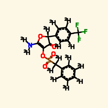 [2H]c1c([2H])c([2H])c(C([2H])([2H])S(=O)(=O)OC2=C(N([2H])[2H])O[C@]([2H])(c3c([2H])c([2H])c(C(F)(F)F)c([2H])c3[2H])C2=O)c([2H])c1[2H]